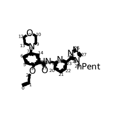 C=CCOc1ccc(N2CCOCC2)cc1C(=O)Nc1cccc(-c2nncn2CCCCC)n1